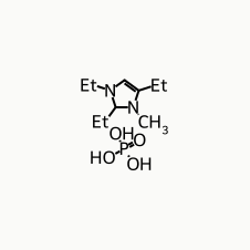 CCC1=CN(CC)C(CC)N1C.O=P(O)(O)O